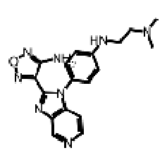 CN(C)CCNc1ccc(-n2c(-c3nonc3N)nc3cnccc32)cc1